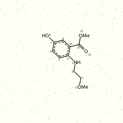 COCCNc1ccc(O)cc1C(=O)OC